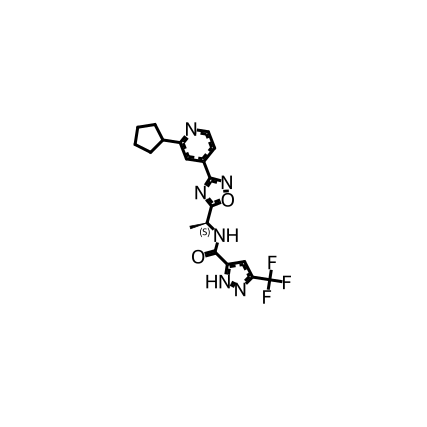 C[C@H](NC(=O)c1cc(C(F)(F)F)n[nH]1)c1nc(-c2ccnc(C3CCCC3)c2)no1